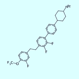 CCCC1CCC(c2ccc(-c3ccc(CCc4ccc(OC(F)(F)F)c(F)c4)c(F)c3F)cc2)CC1